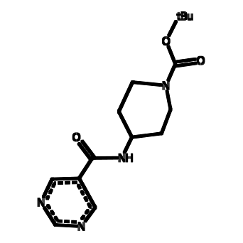 CC(C)(C)OC(=O)N1CCC(NC(=O)c2cncnc2)CC1